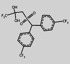 O=S(=O)(CC(O)(O)C(F)(F)F)C(c1ccc(C(F)(F)F)cc1)c1ccc(C(F)(F)F)cc1